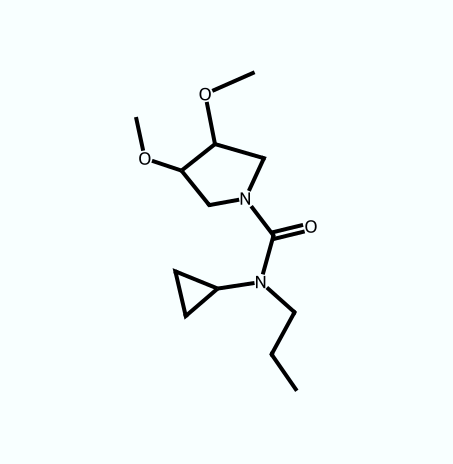 CCCN(C(=O)N1CC(OC)C(OC)C1)C1CC1